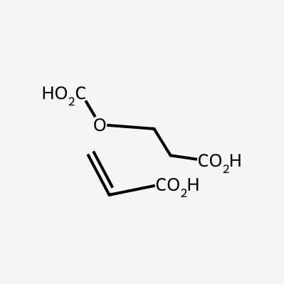 C=CC(=O)O.O=C(O)CCOC(=O)O